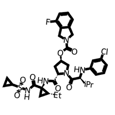 CC[C@@H]1C[C@]1(NC(=O)[C@@H]1C[C@@H](OC(=O)N2Cc3cccc(F)c3C2)CN1C(=O)[C@@H](Nc1cccc(Cl)c1)C(C)C)C(=O)NS(=O)(=O)C1CC1